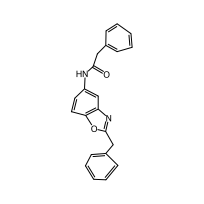 O=C(Cc1ccccc1)Nc1ccc2oc(Cc3ccccc3)nc2c1